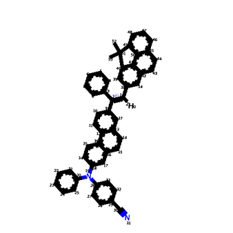 [2H]/C(=C(/c1ccccc1)c1ccc2c(ccc3cc(N(c4ccccc4)c4ccc(C#N)cc4)ccc32)c1)c1cc2c3c(ccc4cccc(c43)C2(C)C)c1